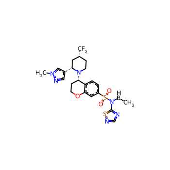 CBN(c1ncns1)S(=O)(=O)c1ccc2c(c1)OCC[C@@H]2N1CC[C@@H](C(F)(F)F)C[C@H]1c1cnn(C)c1